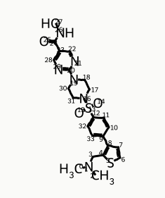 CN(C)Cc1sccc1-c1ccc(S(=O)(=O)N2CCN(c3ncc(C(=O)NO)cn3)CC2)cc1